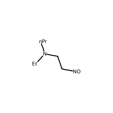 CCCN(CC)CCN=O